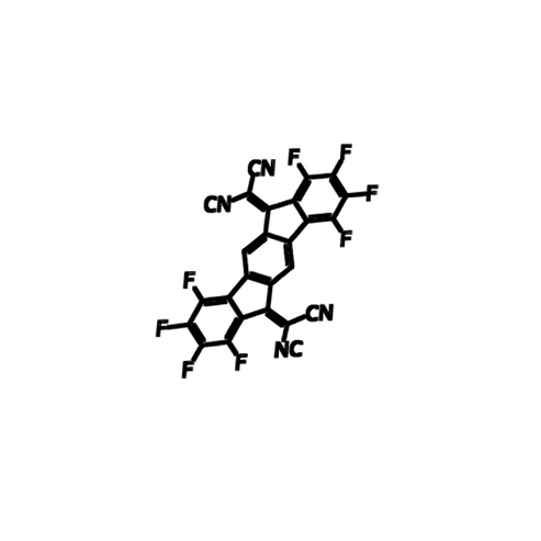 [C-]#[N+]/C(C#N)=C1/c2cc3c(cc2-c2c(F)c(F)c(F)c(F)c21)/C(=C(/C#N)[N+]#[C-])c1c(F)c(F)c(F)c(F)c1-3